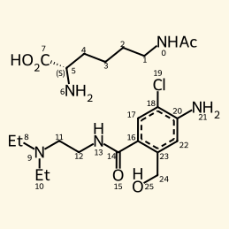 CC(=O)NCCCC[C@H](N)C(=O)O.CCN(CC)CCNC(=O)c1cc(Cl)c(N)cc1CO